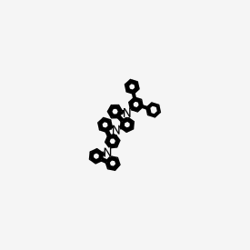 C1=C(c2cc(-c3ccccc3)cc(-n3c4ccccc4c4c(-n5c6ccccc6c6cc(-n7c8ccccc8c8ccccc87)ccc65)cccc43)c2)CCCC1